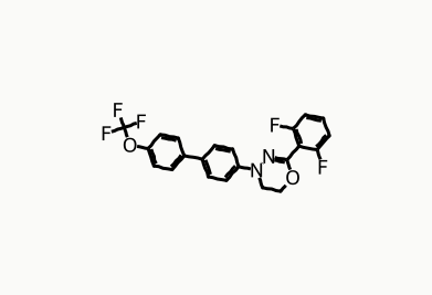 Fc1cccc(F)c1C1=NN(c2ccc(-c3ccc(OC(F)(F)F)cc3)cc2)CCO1